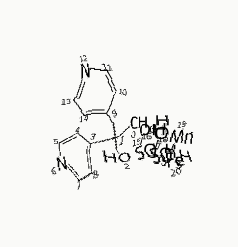 CC(O)(c1ccncc1)c1ccncc1.O=S(=O)(O)O.O=S(=O)(O)O.[Mn][Fe]